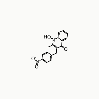 Cc1c(Cc2ccc([N+](=O)[O-])cc2)c(=O)c2ccccc2n1O